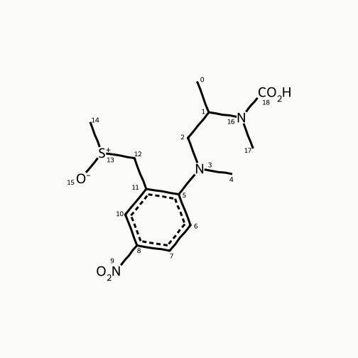 CC(CN(C)c1ccc([N+](=O)[O-])cc1C[S+](C)[O-])N(C)C(=O)O